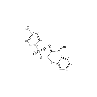 CC(C)(C)OC(=O)C(Cc1ccccc1)CS(=O)(=O)c1ccc(Br)cc1